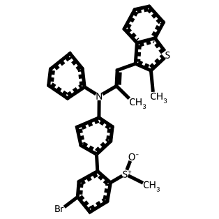 C/C(=C\c1c(C)sc2ccccc12)N(c1ccccc1)c1ccc(-c2cc(Br)ccc2[S+](C)[O-])cc1